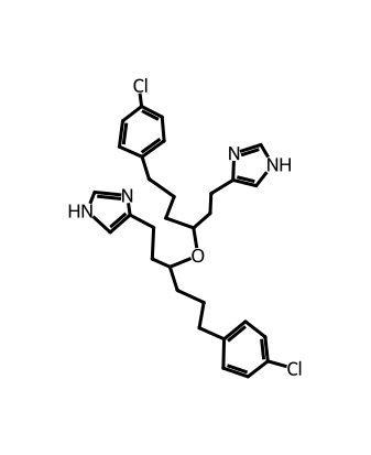 Clc1ccc(CCCC(CCc2c[nH]cn2)OC(CCCc2ccc(Cl)cc2)CCc2c[nH]cn2)cc1